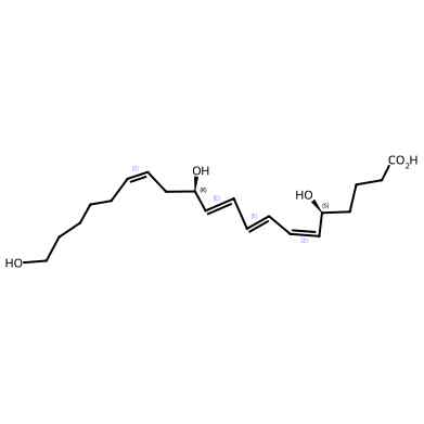 O=C(O)CCC[C@H](O)\C=C/C=C/C=C/[C@H](O)C/C=C\CCCCCO